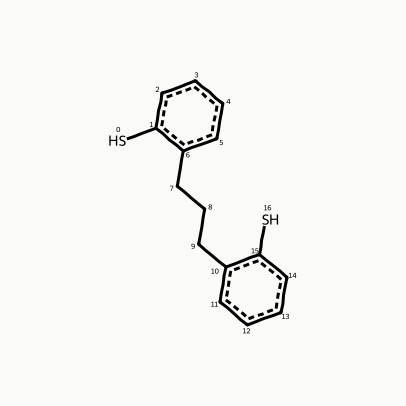 Sc1ccccc1CCCc1ccccc1S